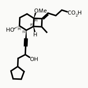 CO[C@]12CC[C@@H](O)[C@H](C#CC(O)CC3CCCC3)[C@H]1C(C)C2=CCCC(=O)O